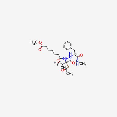 CNC(=O)[C@H](Cc1ccccc1)NC(=O)[C@](NC(=O)CCCCCC(=O)OC)(SC(C)=O)C(C)C